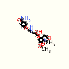 CC(=O)Oc1ccc(OCC(O)CNCCOc2ccc(C(N)=O)cc2)c2c1N(C)C(=O)CC2